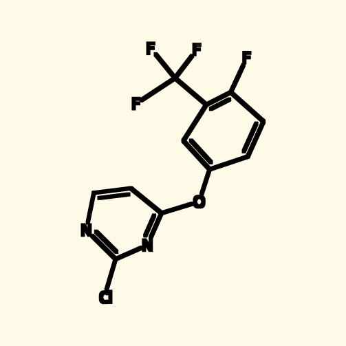 Fc1ccc(Oc2ccnc(Cl)n2)cc1C(F)(F)F